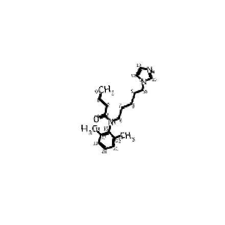 CCCC(=O)N(CCCCCn1ccnc1)c1c(C)cccc1C